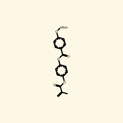 C=C(C)C(=O)Oc1ccc(OC(=O)c2ccc(OCCCCCCCCC)cc2)cc1